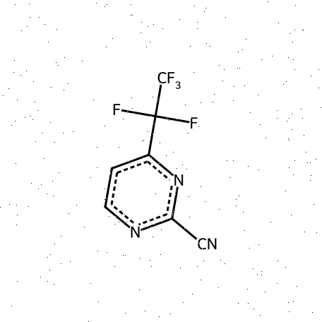 N#Cc1nccc(C(F)(F)C(F)(F)F)n1